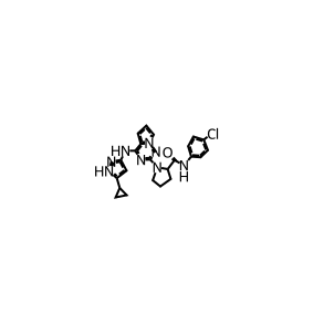 O=C(Nc1ccc(Cl)cc1)C1CCCN1c1nc(Nc2cc(C3CC3)[nH]n2)c2cccn2n1